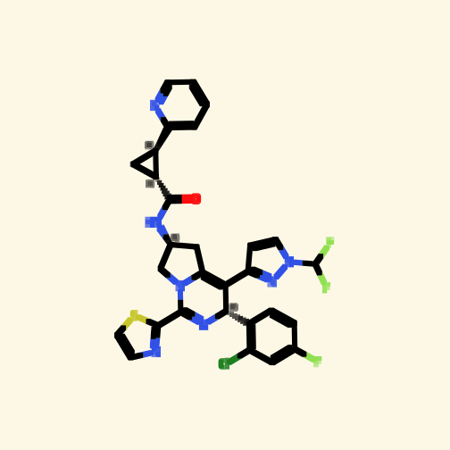 O=C(N[C@H]1CC2=C(c3ccn(C(F)F)n3)[C@H](c3ccc(F)cc3Cl)N=C(c3nccs3)N2C1)[C@@H]1C[C@H]1c1ccccn1